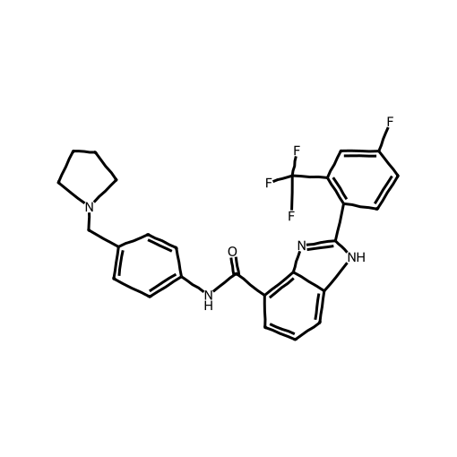 O=C(Nc1ccc(CN2CCCC2)cc1)c1cccc2[nH]c(-c3ccc(F)cc3C(F)(F)F)nc12